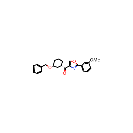 COc1cccc(-c2nc(C(=O)[C@H]3CCC[C@@H](OCc4ccccc4)C3)co2)c1